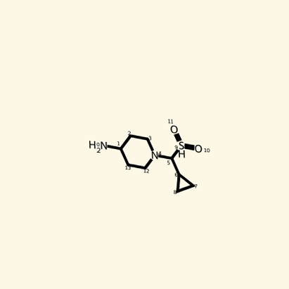 NC1CCN(C(C2CC2)[SH](=O)=O)CC1